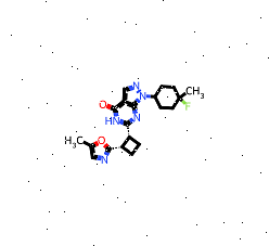 Cc1cnc([C@H]2CC[C@H]2c2nc3c(cnn3C3CCC(C)(F)CC3)c(=O)[nH]2)o1